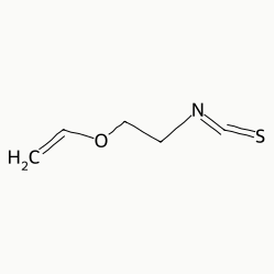 C=COCCN=C=S